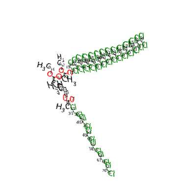 CCOC(C)=O.CCOC(C)=O.CCOC(C)=O.ClCCl.ClCCl.ClCCl.ClCCl.ClCCl.ClCCl.ClCCl.ClCCl.ClCCl.ClCCl.ClCCl.ClCCl.ClCCl.ClCCl.ClCCl.ClCCl.ClCCl.ClCCl.ClCCl.ClCCl